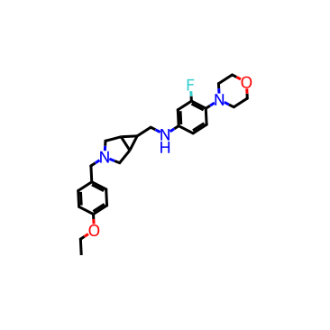 CCOc1ccc(CN2CC3C(CNc4ccc(N5CCOCC5)c(F)c4)C3C2)cc1